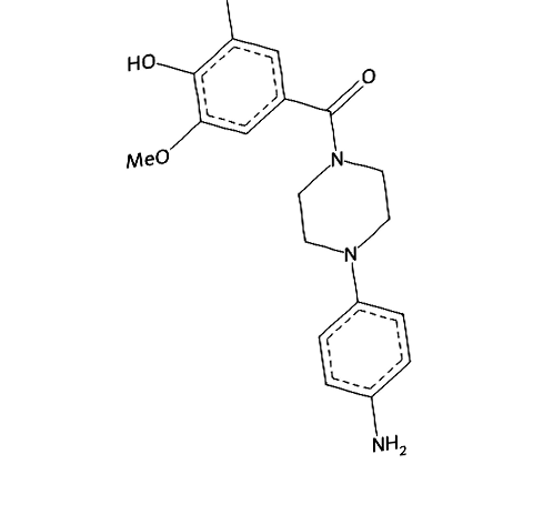 COc1cc(C(=O)N2CCN(c3ccc(N)cc3)CC2)cc(OC)c1O